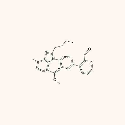 CCCCc1nc2c(C)ccc(C(=O)OC)c2n1-c1ccc(-c2ccccc2C=O)cc1